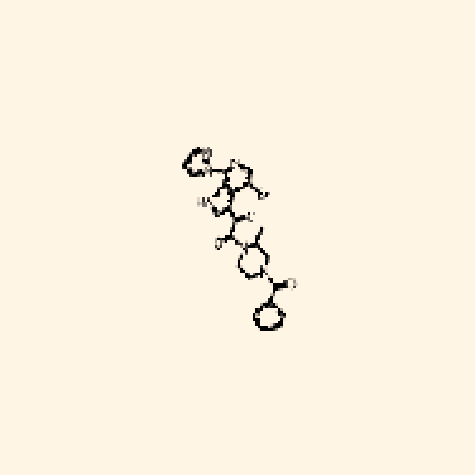 CC1CN(C(=O)c2ccccc2)CCN1C(=O)C(=O)c1c[nH]c2c(-n3cccn3)ncc(Br)c12